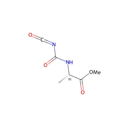 COC(=O)[C@H](C)NC(=O)N=C=O